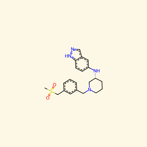 CS(=O)(=O)Cc1cccc(CN2CCC[C@@H](Nc3ccc4[nH]ncc4c3)C2)c1